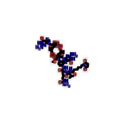 COC(=O)N(c1ccc(NC(=O)[C@H](CCCNC(N)=O)NC(=O)[C@@H](NC(=O)CCCCCN2C(=O)C=CC2=O)C(C)C)cc1)[C@H]1[C@H]2OP(=O)(S)OC[C@H]3O[C@@H](n4cnc5c(=O)[nH]c(N)nc54)[C@@H](O)[C@@H]3OP(=O)(S)OC[C@H]2O[C@H]1n1cnc2c(=O)[nH]c(N)nc21